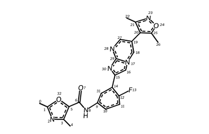 Cc1nc(C)c(C(=O)Nc2ccc(F)c(-c3cn4cc(-c5c(C)noc5C)cnc4n3)c2)o1